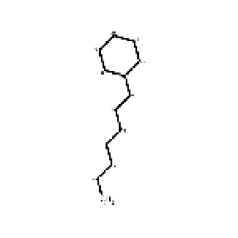 [CH2]CCCCC[CH]C1CCCCC1